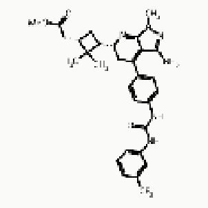 COC(=O)C[C@@H]1C[C@H](C2CC(c3ccc(NC(=O)Nc4cccc(C(F)(F)F)c4)cc3)=c3c(N)nn(C)c3=N2)C1(C)C